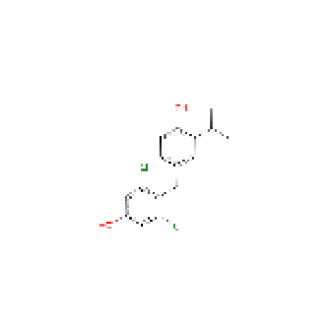 CC(C)c1cc(Cc2c(Cl)cc(O)cc2Cl)ccc1O